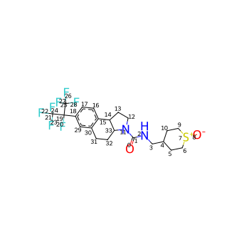 O=C(NCC1CC[S+]([O-])CC1)N1CCC2c3ccc(C(F)(C(F)(F)F)C(F)(F)F)cc3CCC21